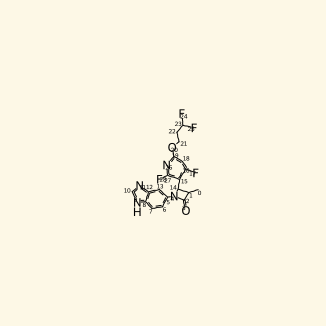 CC1C(=O)N(c2ccc3[nH]cnc3c2)C1c1c(F)cc(OCCC(F)F)nc1F